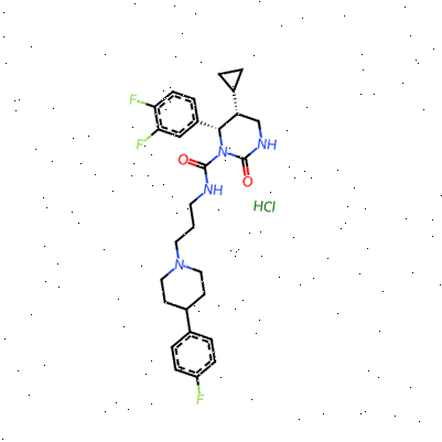 Cl.O=C(NCCCN1CCC(c2ccc(F)cc2)CC1)N1C(=O)NC[C@@H](C2CC2)[C@H]1c1ccc(F)c(F)c1